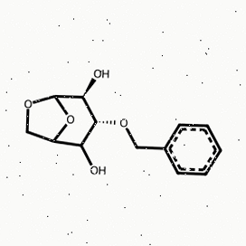 OC1C2COC(O2)[C@@H](O)[C@@H]1OCc1ccccc1